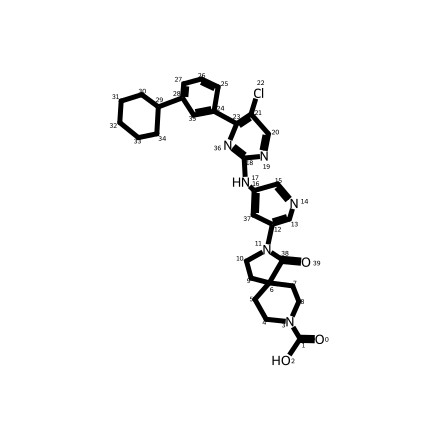 O=C(O)N1CCC2(CC1)CCN(c1cncc(Nc3ncc(Cl)c(-c4cccc(C5CCCCC5)c4)n3)c1)C2=O